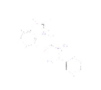 N=C(c1ccccn1)N(N)C(=O)Cn1c(=O)oc2ccccc21